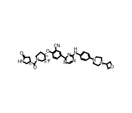 N#Cc1cc(-c2ncnc(Nc3ccc(N4CCN(C5COC5)CC4)cc3)n2)ccc1O[C@H]1CCN(C(=O)[C@H]2CNC(=O)C2)C[C@H]1F